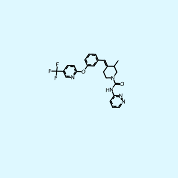 CC1CN(C(=O)Nc2cccnn2)CCC1=Cc1cccc(Oc2ccc(C(F)(F)F)cn2)c1